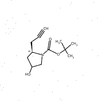 C#CC[C@@H]1CC(O)CN1C(=O)OC(C)(C)C